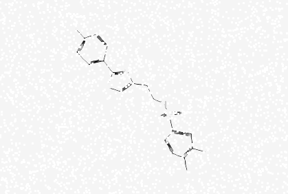 Cc1ccc(S(=O)(=O)NCCc2coc(-c3ccc(C(F)(F)F)cc3)n2)cc1C(=O)O